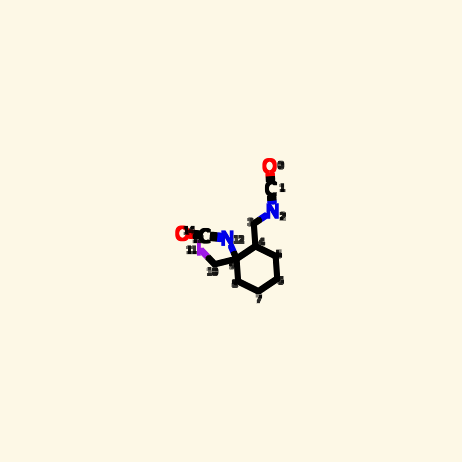 O=C=NCC1CCCCC1(CI)N=C=O